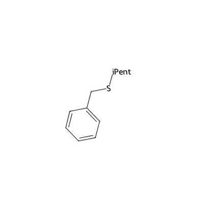 CCCC(C)SCc1ccccc1